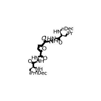 CCCCCCCCCCN[C@@H](CC(C)C)C(=O)NNC(=O)c1ccc(C(=O)NNC(=O)[C@H](CC(C)C)NCCCCCCCCCC)o1